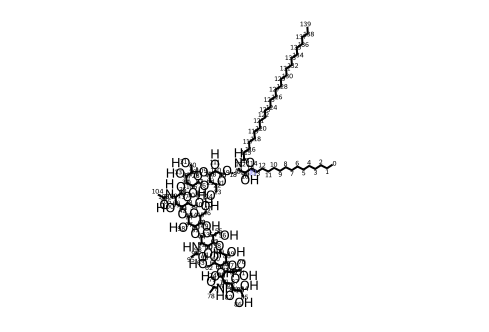 CCCCCCCCCCCCC/C=C/[C@@H](O)[C@H](CO[C@@H]1OC(CO)[C@@H](O[C@@H]2OC(CO)[C@H](O)[C@H](O[C@@H]3OC(CO)[C@@H](O[C@@H]4OC(CO)[C@H](O)[C@H](O[C@@H]5OC(CO)[C@@H](O[C@@H]6OC(CO)[C@H](O)[C@H](O[C@]7(C(=O)O)CC(O)[C@@H](NC(C)=O)C([C@H](O)[C@H](O)CO)O7)C6O)[C@H](O)C5NC(C)=O)C4O)[C@H](O)C3NC(C)=O)C2O)[C@H](O)C1O)NC(=O)CCCCCCCCCCCCCCCCCCCCCCCCC